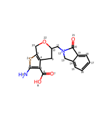 Nc1sc2c(c1C(=O)O)CC(CN1Cc3ccccc3C1=O)OC2